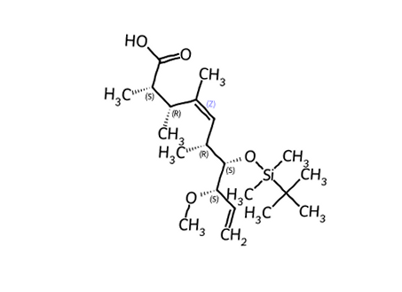 C=C[C@H](OC)[C@@H](O[Si](C)(C)C(C)(C)C)[C@H](C)/C=C(/C)[C@H](C)[C@H](C)C(=O)O